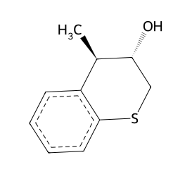 C[C@@H]1c2ccccc2SC[C@H]1O